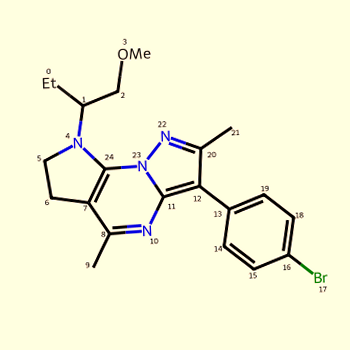 CCC(COC)N1CCc2c(C)nc3c(-c4ccc(Br)cc4)c(C)nn3c21